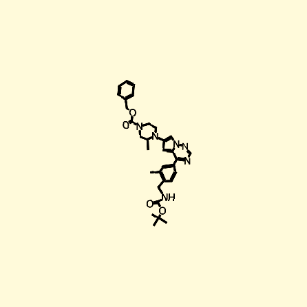 Cc1cc(-c2ncnn3cc(N4CCN(C(=O)OCc5ccccc5)CC4C)cc23)ccc1CNC(=O)OC(C)(C)C